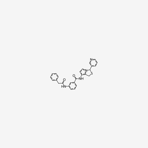 O=C(Cc1ccccc1)Nc1cccc(C(=O)Nc2ccn3c2CSC3c2cccnc2)c1